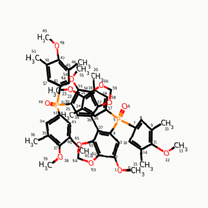 COc1cc(P(=O)(c2cc(C)c(OC)c(C)c2)c2cc(C)c(OC)c(C)c2)c(-c2cc(P(=O)(c3cc(C)c(OC)c(C)c3)c3cc(C)c(OC)c(C)c3)c(OC)c3c2OCO3)c2c1OCO2